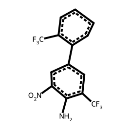 Nc1c([N+](=O)[O-])cc(-c2ccccc2C(F)(F)F)cc1C(F)(F)F